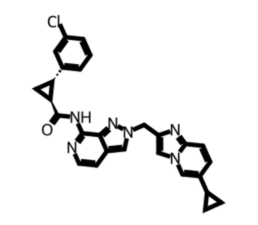 O=C(Nc1nccc2cn(Cc3cn4cc(C5CC5)ccc4n3)nc12)[C@H]1C[C@@H]1c1cccc(Cl)c1